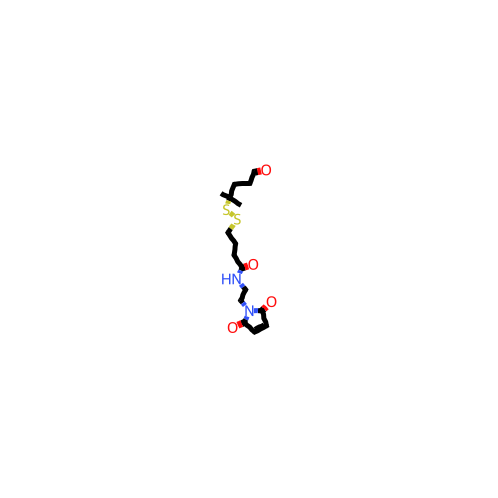 CC(C)(CCC=O)SSCCCC(=O)NCCN1C(=O)C=CC1=O